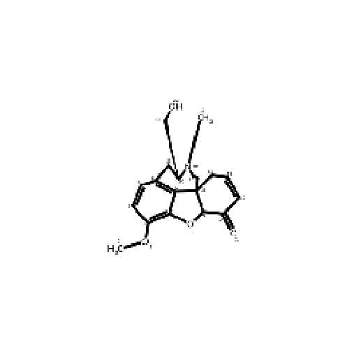 COc1ccc2c3c1OC1C(=O)C=CCC31CCN(C)[C@@H](CO)C2